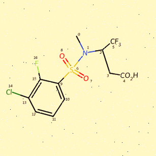 CN(C(CC(=O)O)C(F)(F)F)S(=O)(=O)c1cccc(Cl)c1F